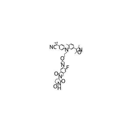 Cc1ccc(-c2c(C)noc2C)cc1N(CCCOC1CN(c2cc3c(cc2F)CN(C2CCC(=O)NC2=O)C3=O)C1)c1ccc(C2(C#N)CC2)cc1